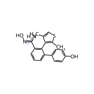 Cc1csc(C)c1-c1c(/C(N)=N/O)cccc1-c1ccc(O)cc1